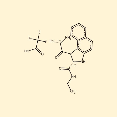 CC[C@H](N)C(=O)C1c2c(ccc3ccccc23)N[C@@H]1C(=O)NCC(F)(F)F.O=C(O)C(F)(F)F